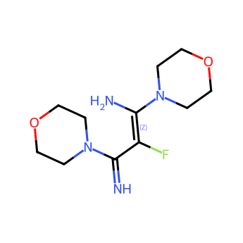 N=C(/C(F)=C(\N)N1CCOCC1)N1CCOCC1